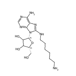 NCCCCCCNc1nc2c(N)ncnc2n1[C@@H]1O[C@H](CO)C(O)C1O